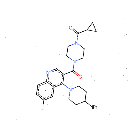 CC(C)C1CCN(c2c(C(=O)N3CCN(C(=O)C4CC4)CC3)cnc3ccc(F)cc23)CC1